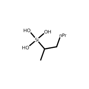 CCCCC(C)[Si](O)(O)O